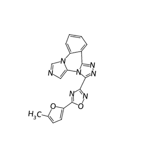 Cc1ccc(-c2nc(-c3nnc4c5ccccc5n5cncc5n34)no2)o1